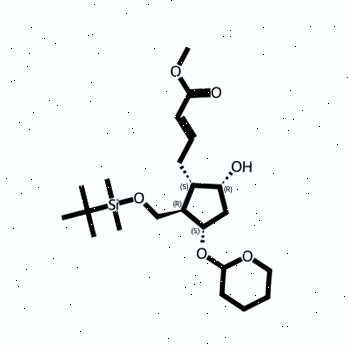 COC(=O)C=CC[C@H]1[C@H](CO[Si](C)(C)C(C)(C)C)[C@@H](OC2CCCCO2)C[C@H]1O